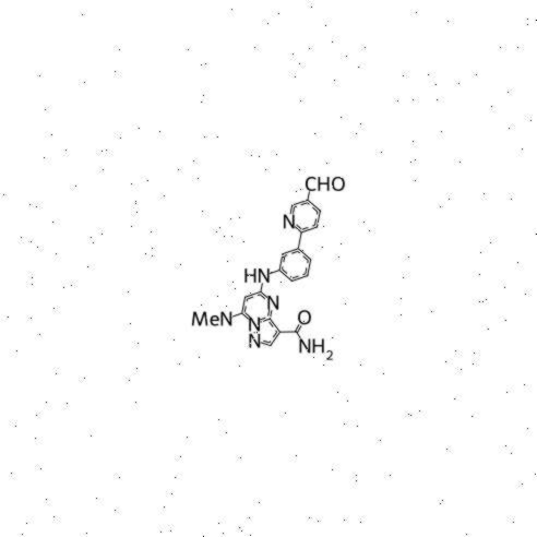 CNc1cc(Nc2cccc(-c3ccc(C=O)cn3)c2)nc2c(C(N)=O)cnn12